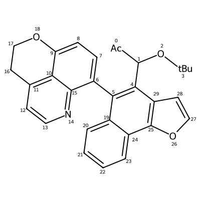 CC(=O)C(OC(C)(C)C)c1c(-c2ccc3c4c(ccnc24)CCO3)c2ccccc2c2occc12